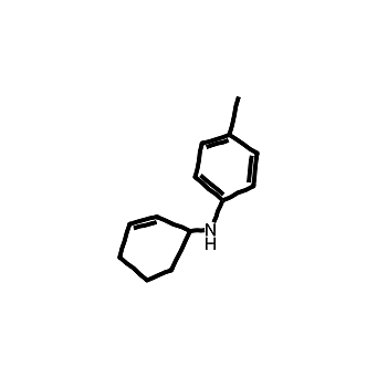 Cc1ccc(NC2C=CCCC2)cc1